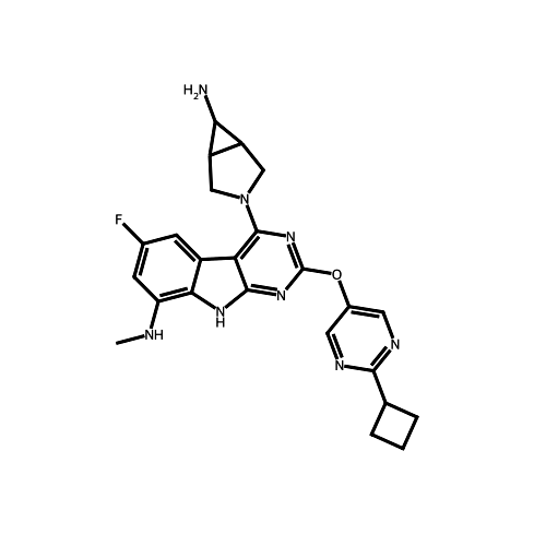 CNc1cc(F)cc2c1[nH]c1nc(Oc3cnc(C4CCC4)nc3)nc(N3CC4C(N)C4C3)c12